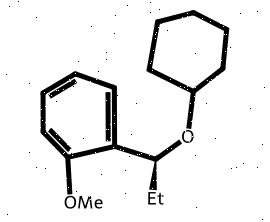 CC[C@H](OC1CCCCC1)c1ccccc1OC